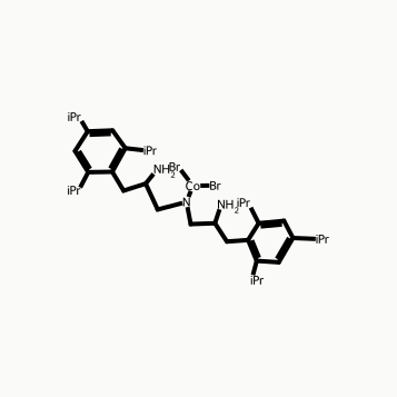 CC(C)c1cc(C(C)C)c(CC(N)C[N](CC(N)Cc2c(C(C)C)cc(C(C)C)cc2C(C)C)[Co]([Br])[Br])c(C(C)C)c1